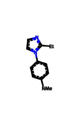 CCc1nccn1-c1ccc(NC)cc1